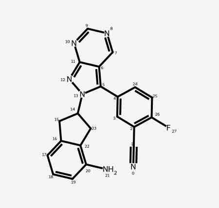 N#Cc1cc(-c2c3cncnc3nn2C2Cc3cccc(N)c3C2)ccc1F